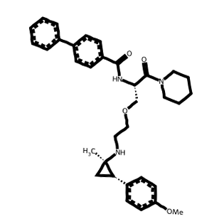 COc1ccc([C@@H]2C[C@@]2(C)NCCOC[C@H](NC(=O)c2ccc(-c3ccccc3)cc2)C(=O)N2CCCCC2)cc1